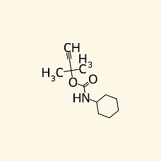 C#CC(C)(C)OC(=O)NC1CCCCC1